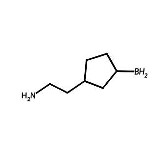 BC1CCC(CCN)C1